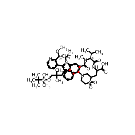 CCn1c(-c2cccnc2[C@H](C)OC)c(CC(C)(C)CO[Si](C)(C)C(C)(C)C)c2cc(N3CCS(=O)(=O)C(CC(NC(=O)[C@H](C(C)C)N(C)C(=O)OCc4ccccc4)C(=O)O)C3)ccc21